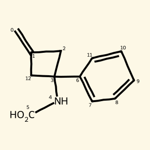 C=C1CC(NC(=O)O)(c2ccccc2)C1